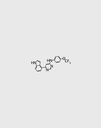 FC(F)(F)Oc1ccc(Nc2cc(-c3cccc4[nH]ccc34)ncn2)cc1